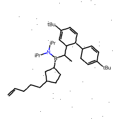 C=CCCCC1CCC(B(C(C)C2C=C(C(C)(C)C)C=CC2C2C=CC(C(C)(C)C)=CC2)N(C(C)C)C(C)C)C1